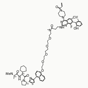 C=CC(=O)N1CCN(c2nc(NCCC(=O)N(C)CCOCCOCCOCCOCCOc3ccc(-c4csc([C@@H]5CCCN5C(=O)[C@@H](NC(=O)[C@H](C)NC)C5CCCCC5)n4)c4ccccc34)nc3c(F)c(-c4c(O)cccc4F)c(Cl)cc23)CC1